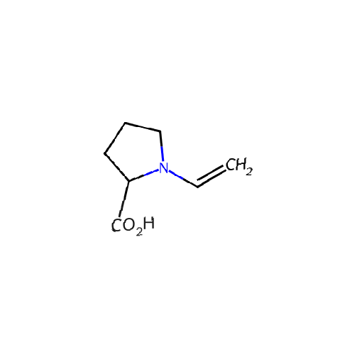 C=CN1CCCC1C(=O)O